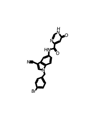 N#Cc1cn(Cc2ccc(Br)cc2)c2ccc(NC(=O)c3cc(=O)[nH]cn3)cc12